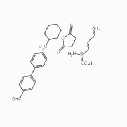 NC1CCCCC1.NCCC[C@H](N)C(=O)O.O=C1CCC(=O)O1.O=Cc1ccc(-c2ccccc2)cc1